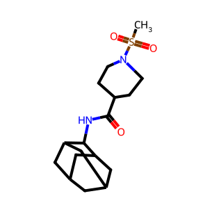 CS(=O)(=O)N1CCC(C(=O)NC2C3CC4CC(C3)CC2C4)CC1